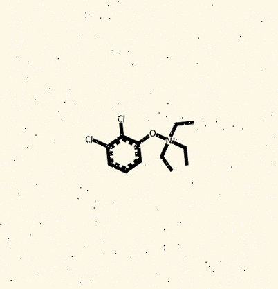 CC[N+](CC)(CC)Oc1cccc(Cl)c1Cl